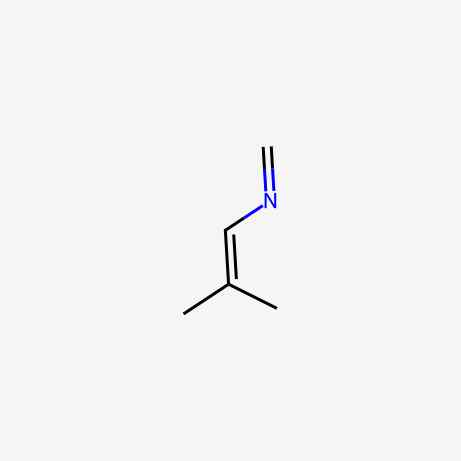 C=NC=C(C)C